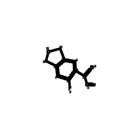 COC(=O)c1cc2c(cc1F)COC2